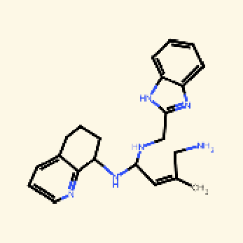 CC(=CC(NCc1nc2ccccc2[nH]1)NC1CCCc2cccnc21)CN